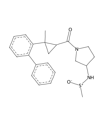 C[S+]([O-])NC1CCN(C(=O)C2CC2(C)c2ccccc2-c2ccccc2)C1